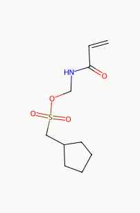 C=CC(=O)NCOS(=O)(=O)CC1CCCC1